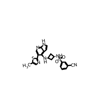 Cc1cnc(-c2cnc3[nH]ccc3c2N[C@H]2C[C@@H](NS(=O)(=O)c3cccc(C#N)c3)C2)s1